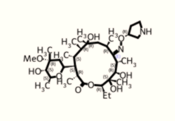 CC[C@H]1OC(=O)[C@H](C)[C@@H](C2C[C@@](C)(OC)[C@@H](O)[C@H](C)O2)[C@H](C)[C@@H](C)[C@](C)(O)C[C@@H](C)/C(=N\O[C@@H]2CCNC2)[C@H](C)[C@@H](O)[C@]1(C)O